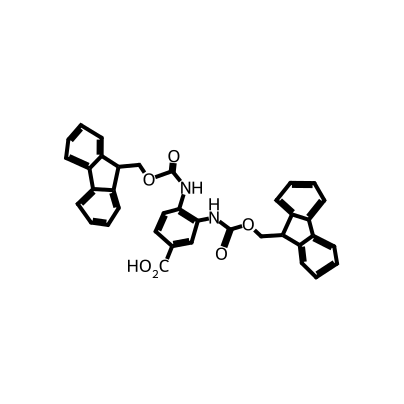 O=C(Nc1ccc(C(=O)O)cc1NC(=O)OCC1c2ccccc2-c2ccccc21)OCC1c2ccccc2-c2ccccc21